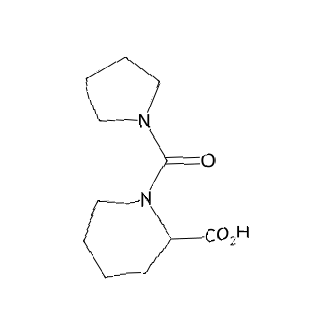 O=C(O)C1CCCCN1C(=O)N1CCCC1